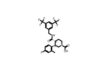 Cc1cc(F)ccc1[C@@H]1CN(C(=O)O)CC[C@H]1C(=O)NCc1cc(C(F)(F)F)cc(C(F)(F)F)c1